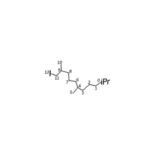 CC(C)CCCC(C)CCCC(C)CI